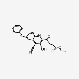 CCOC(=O)CCC(=O)c1nc2ccc(Sc3ccccc3)cc2c(C#N)c1O